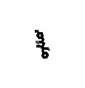 N#Cc1ccc(CN(N)C[C@H](O)[C@@H](N)Cc2ccccc2)cc1